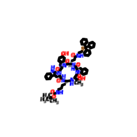 C[C@@H](O)[C@@H]1NC[C@H](CCCCNC(=O)OC(C)(C)C)NC(=O)[C@@H](Cc2c[nH]c3ccccc23)NC(=O)[C@H](Cc2ccc(O)cc2)NC(=O)[C@H](CCC(=O)NCCSC(c2ccccc2)(c2ccccc2)c2ccccc2)NC(=O)[C@H](Cc2ccccc2)NC1=O